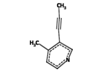 CC#Cc1cnccc1C